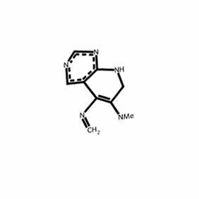 C=NC1=C(NC)CNc2ncncc21